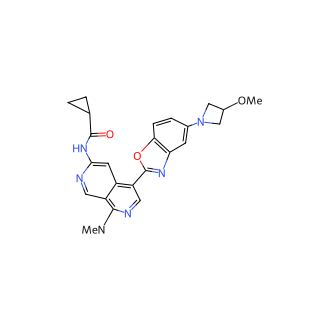 CNc1ncc(-c2nc3cc(N4CC(OC)C4)ccc3o2)c2cc(NC(=O)C3CC3)ncc12